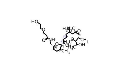 COC(C(C)O)C(C)[C@H]1O[C@]1(C)CC(C)/C=C/C=C(\C)[C@H]1O[C@@H](CNC(=O)CCOCCO)CC[C@@H]1C